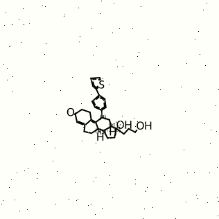 C[C@@]12C[C@H](c3ccc(-c4cccs4)cc3)C3=C4CCC(=O)C=C4CC[C@H]3[C@@H]1CC[C@]2(O)CCCO